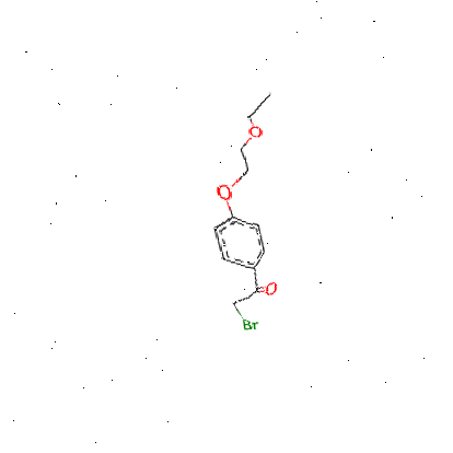 CCOCCOc1ccc(C(=O)CBr)cc1